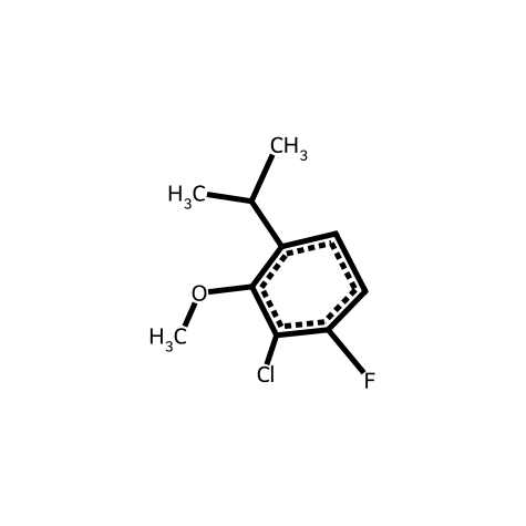 COc1c(C(C)C)ccc(F)c1Cl